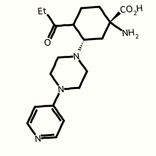 CCC(=O)C1CC[C@@](N)(C(=O)O)C[C@@H]1N1CCN(c2ccncc2)CC1